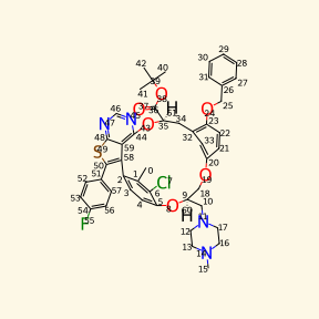 Cc1c2ccc(c1Cl)O[C@H](CN1CCN(C)CC1)COc1ccc(OCc3ccccc3)c(c1)C[C@H](C(=O)OC(C)(C)C)Oc1ncnc3sc(-c4ccc(F)cc4)c-2c13